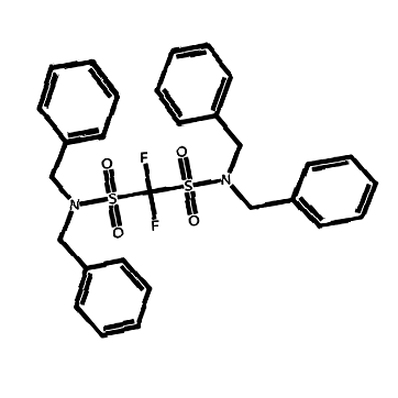 O=S(=O)(N(Cc1ccccc1)Cc1ccccc1)C(F)(F)S(=O)(=O)N(Cc1ccccc1)Cc1ccccc1